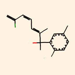 C=C(Cl)/C=C\C=C(/C)C(O)(c1cc(C)ccc1OC)C(F)(F)F